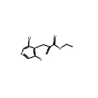 C=C(Cc1c(Cl)cncc1Cl)C(=O)OCC